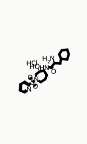 Cl.N[C@@H](CC1CCCCC1)C(=O)N[C@H]1CCCN(S(=O)(=O)c2ccccn2)C[C@@H]1O